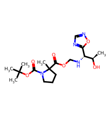 C[C@@H](O)[C@H](NCOC(=O)C1(C)CCCN1C(=O)OC(C)(C)C)c1ncno1